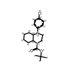 CC(C)(C)OC(=O)N1CCN(c2ccc(Cl)cc2)C2CCCCC21